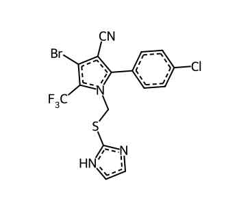 N#Cc1c(Br)c(C(F)(F)F)n(CSc2ncc[nH]2)c1-c1ccc(Cl)cc1